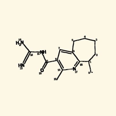 [CH2]C1CCCCc2cc(C(=O)NC(=N)N)c(C)nc21